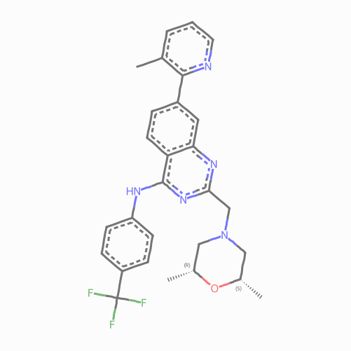 Cc1cccnc1-c1ccc2c(Nc3ccc(C(F)(F)F)cc3)nc(CN3C[C@@H](C)O[C@@H](C)C3)nc2c1